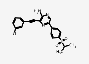 CC(C)S(=O)(=O)c1ccc(-c2cnc(N)c(C#Cc3cccc(Cl)c3)n2)cc1